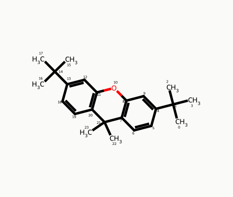 CC(C)(C)c1ccc2c(c1)Oc1cc(C(C)(C)C)ccc1C2(C)C